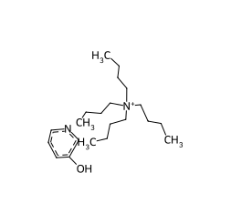 CCCC[N+](CCCC)(CCCC)CCCC.Oc1cccnc1